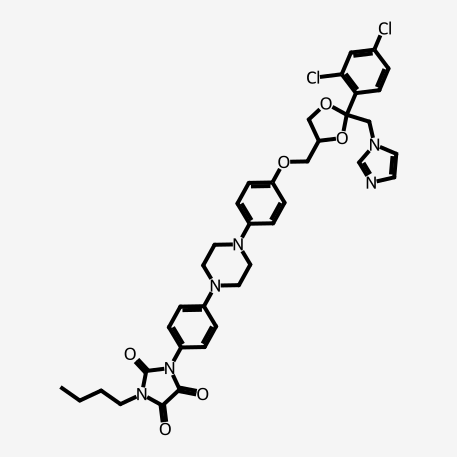 CCCCN1C(=O)C(=O)N(c2ccc(N3CCN(c4ccc(OCC5COC(Cn6ccnc6)(c6ccc(Cl)cc6Cl)O5)cc4)CC3)cc2)C1=O